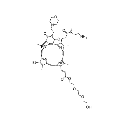 CCC1=C(C)c2cc3[nH]c(cc4nc(c5c6[nH]c(cc1n2)c(C)c6C(=O)N(CCN1CCOCC1)C5=O)[C@@H](CCC(=O)N(C)CCN)[C@@H]4C)c(C)c3/C=C/C(=O)OCCOCCOCCO